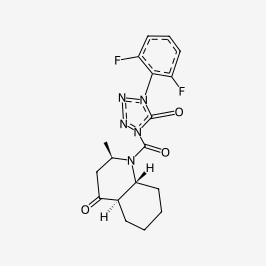 C[C@@H]1CC(=O)[C@@H]2CCCC[C@H]2N1C(=O)n1nnn(-c2c(F)cccc2F)c1=O